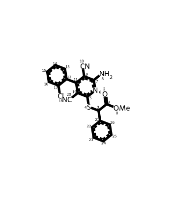 COC(=O)C(Sc1nc(N)c(C#N)c(-c2ccccc2Cl)c1C#N)c1ccccc1